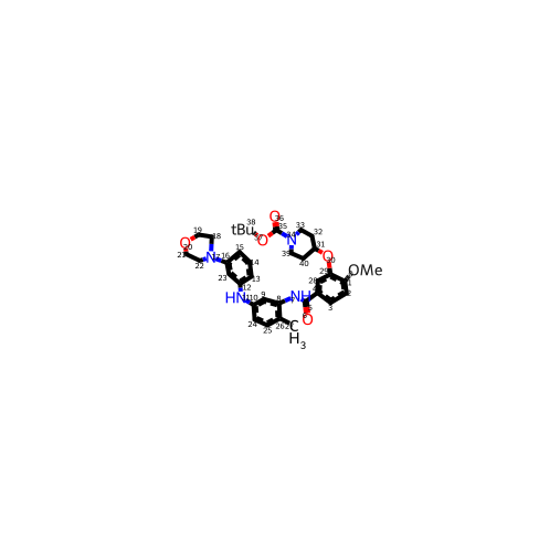 COc1ccc(C(=O)Nc2cc(Nc3cccc(N4CCOCC4)c3)ccc2C)cc1OC1CCN(C(=O)OC(C)(C)C)CC1